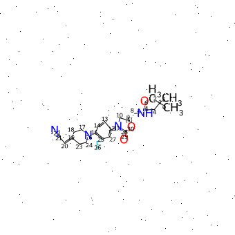 CC(C)(C)CC(=O)NC[C@H]1CN(c2ccc(N3CCC(=CC#N)CC3)c(F)c2)C(=O)O1